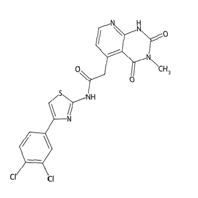 Cn1c(=O)[nH]c2nccc(CC(=O)Nc3nc(-c4ccc(Cl)c(Cl)c4)cs3)c2c1=O